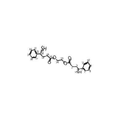 O=C(CCC(S)c1ccccc1)OCCOC(=O)CCC(S)c1ccccc1